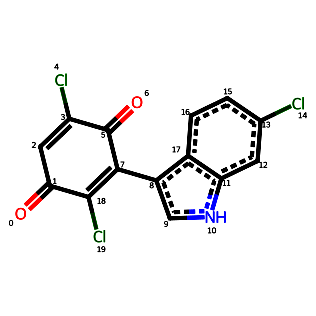 O=C1C=C(Cl)C(=O)C(c2c[nH]c3cc(Cl)ccc23)=C1Cl